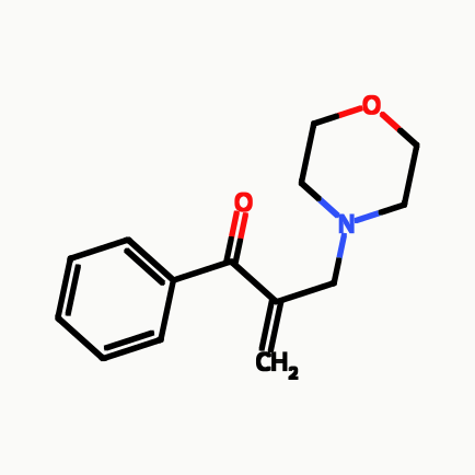 C=C(CN1CCOCC1)C(=O)c1ccccc1